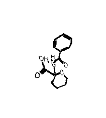 O=C(NC1(C(=O)O)CCCCO1)c1ccccc1